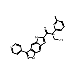 Cc1cccc([C@@H](CO)C(=O)c2cc3cc4[nH]nc(-c5ccncc5)c4cc3[nH]2)n1